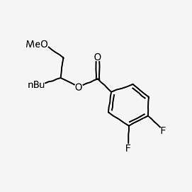 CCCCC(COC)OC(=O)c1ccc(F)c(F)c1